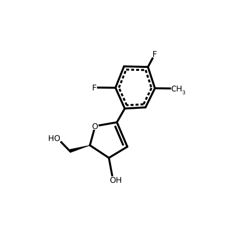 Cc1cc(C2=CC(O)[C@@H](CO)O2)c(F)cc1F